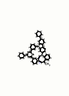 C=C1/C=C\C=C/N(c2ccc3c4ccc(C5=CCCC=C5)cc4n(-c4cccc(-c5nc(C6=CCCC=C6)nc(C6C=CC=CC6)n5)c4)c3c2)c2ccccc21